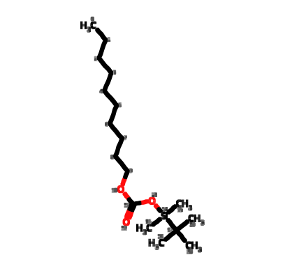 CCCCCCCCCCOC(=O)O[Si](C)(C)C(C)(C)C